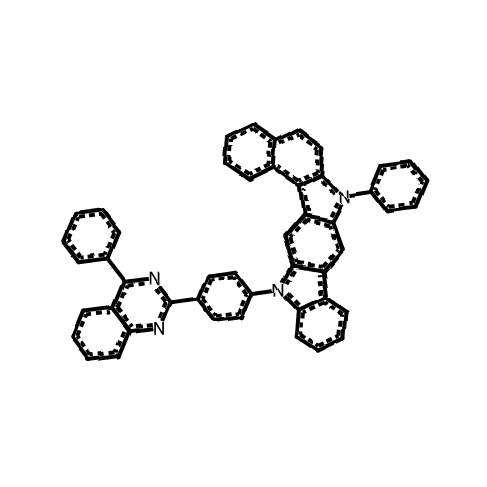 c1ccc(-c2nc(-c3ccc(-n4c5ccccc5c5cc6c(cc54)c4c5ccccc5ccc4n6-c4ccccc4)cc3)nc3ccccc23)cc1